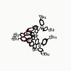 CC(C)(C)c1ccc(N(c2ccc(C(C)(C)C)cc2)c2cc3c(c4ccccc24)-c2c(cc(N(c4ccc(C(C)(C)C)cc4)c4ccc(C(C)(C)C)cc4)c4ccccc24)C3(C)C2(C)c3cc(N(c4ccc(C(C)(C)C)cc4)c4ccc(C(C)(C)C)cc4)c4ccccc4c3-c3c2cc(N(c2ccc(C(C)(C)C)cc2)c2ccc(C(C)(C)C)cc2)c2ccccc32)cc1